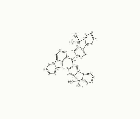 CC1(C)c2ccccc2-c2cc(N(c3ccc4c(c3)C(C)(C)c3ccccc3-4)c3cccc4c3sc3ccccc34)ccc21